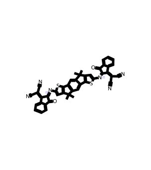 CC1(C)c2cc3c(cc2-c2sc(/N=C4\C(=O)c5ccccc5C4=C(C#N)C#N)cc21)C(C)(C)c1cc(/N=C2\C(=O)c4ccccc4C2=C(C#N)C#N)sc1-3